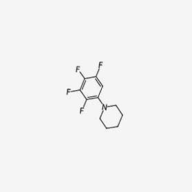 Fc1cc(N2CCCCC2)c(F)c(F)c1F